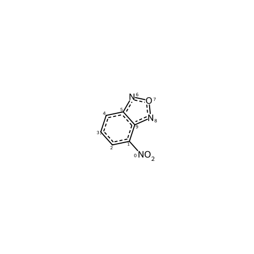 O=[N+]([O-])c1c[c]cc2nonc12